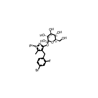 Cc1c(Cc2ccc(Br)cc2F)c(O[C@]2(O)O[C@H](CO)[C@@H](O)[C@H](O)[C@H]2O)nn1C(C)C